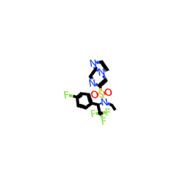 CCN([C@H](c1ccc(F)cc1)C(F)(F)F)S(=O)(=O)c1cn2ccnc2cn1